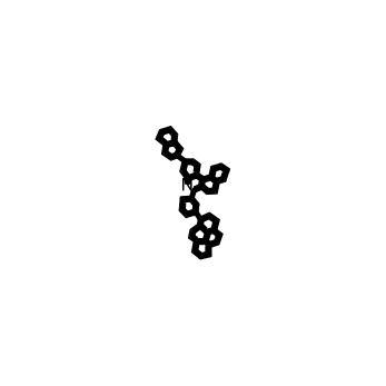 c1cc(-c2nc3cc(-c4ccc5ccccc5c4)ccc3c3c2ccc2ccccc23)cc(-c2ccc3ccc4cccc5ccc2c3c45)c1